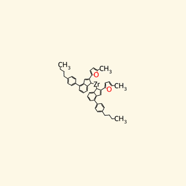 CCCCc1ccc(-c2cccc3c2C=C(c2ccc(C)o2)[CH]3[Zr][CH]2C(c3ccc(C)o3)=Cc3c(-c4ccc(CCCC)cc4)cccc32)cc1